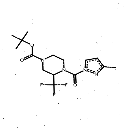 Cc1ccn(C(=O)N2CCN(C(=O)OC(C)(C)C)CC2C(F)(F)F)n1